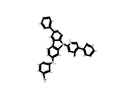 Cc1cc(-n2c3ccc(-c4ccccc4)cc3c3ccc(Oc4cccc(Br)c4)cc32)ncc1-c1ccccc1